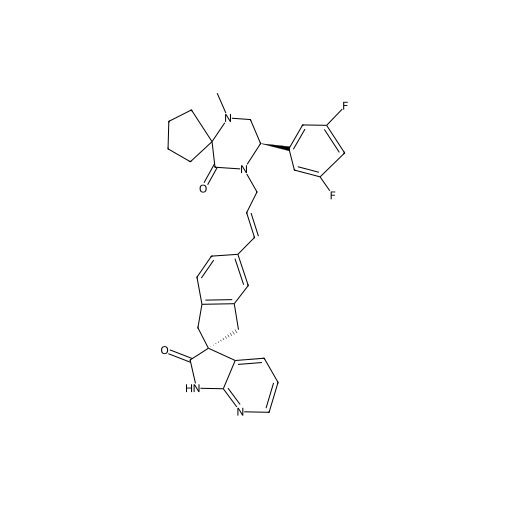 CN1C[C@@H](c2cc(F)cc(F)c2)N(C/C=C/c2ccc3c(c2)C[C@@]2(C3)C(=O)Nc3ncccc32)C(=O)C12CCCC2